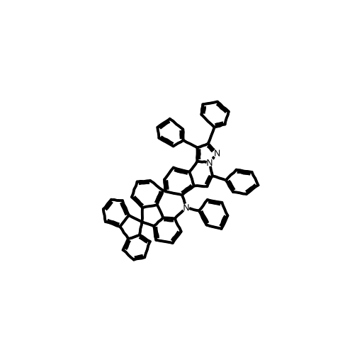 c1ccc(-c2nn3c(-c4ccccc4)cc4c(N(c5ccccc5)c5cccc6c5-c5ccccc5C65c6ccccc6-c6ccccc65)cccc4c3c2-c2ccccc2)cc1